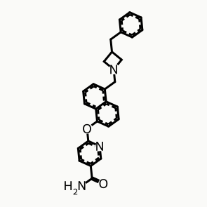 NC(=O)c1ccc(Oc2cccc3c(CN4CC(Cc5ccccc5)C4)cccc23)nc1